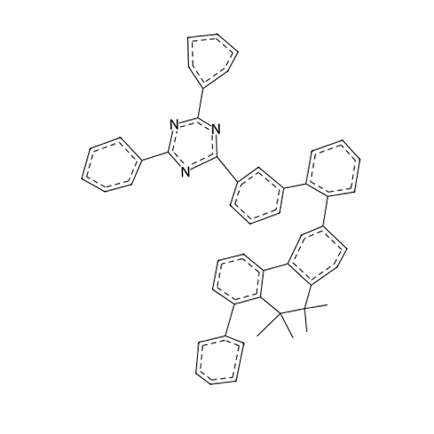 CC1(C)c2ccc(-c3ccccc3-c3cccc(-c4nc(-c5ccccc5)nc(-c5ccccc5)n4)c3)cc2-c2cccc(-c3ccccc3)c2C1(C)C